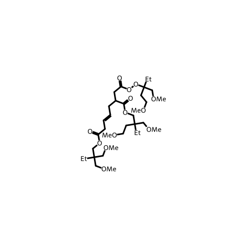 CCC(COC)(COC)COC(=O)CC=CCC(CC(=O)OOC(CC)(CCOC)COC)C(=O)OCC(CC)(CCOC)COC